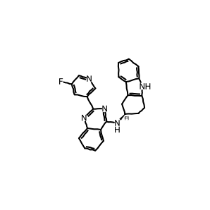 Fc1cncc(-c2nc(N[C@@H]3CCc4[nH]c5ccccc5c4C3)c3ccccc3n2)c1